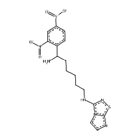 NC(CCCCCNc1nsc2nccn12)c1ccc([N+](=O)[O-])cc1[N+](=O)[O-]